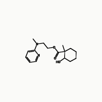 CN(CCOC(=O)C1(C)CCCCC1O)c1ccccn1